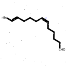 CCCCC=CCCC/C=C\CCCCC=O